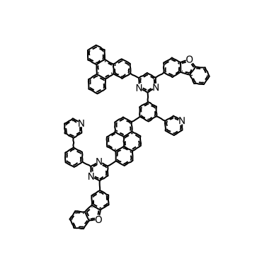 c1cncc(-c2cccc(-c3nc(-c4ccc5oc6ccccc6c5c4)cc(-c4ccc5ccc6c(-c7cc(-c8cccnc8)cc(-c8nc(-c9ccc%10oc%11ccccc%11c%10c9)cc(-c9ccc%10c%11ccccc%11c%11ccccc%11c%10c9)n8)c7)ccc7ccc4c5c76)n3)c2)c1